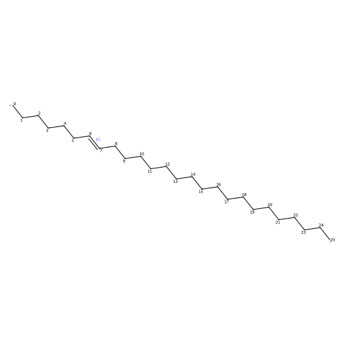 [CH2]CCCCC/C=C/CCCCCCCCCCCCCCCCC[CH2]